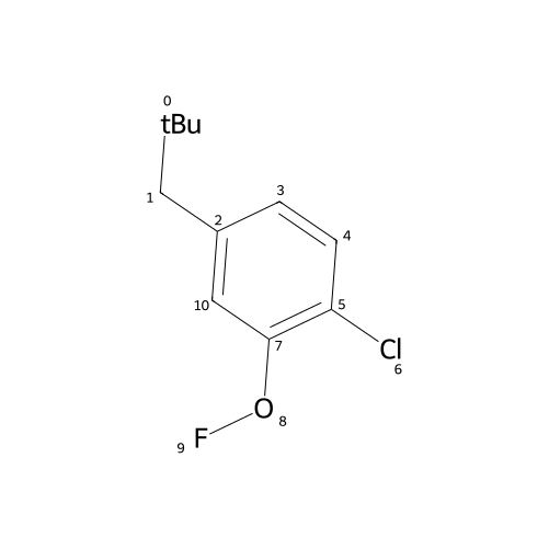 CC(C)(C)Cc1ccc(Cl)c(OF)c1